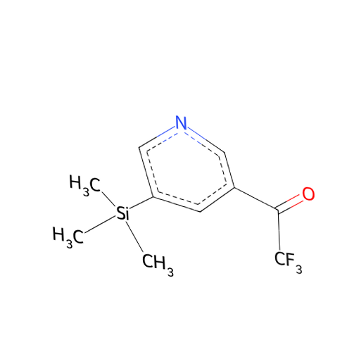 C[Si](C)(C)c1cncc(C(=O)C(F)(F)F)c1